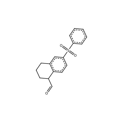 O=CC1CCCc2cc(S(=O)(=O)c3ccccc3)ccc21